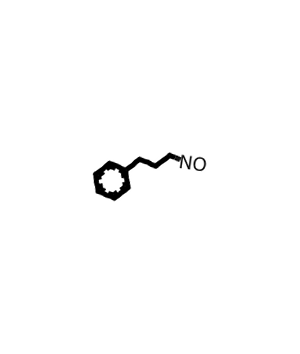 O=NCCCc1ccccc1